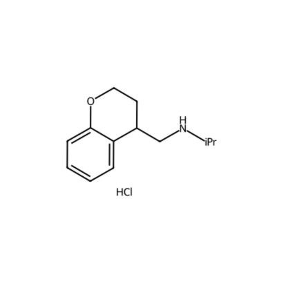 CC(C)NCC1CCOc2ccccc21.Cl